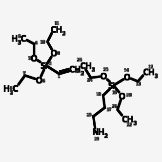 C=C[Si](OCC)(OCC)OCC.CCO[Si](CCCN)(OCC)OCC